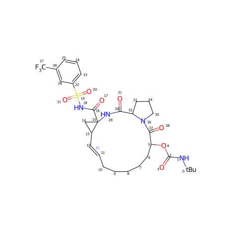 CC(C)(C)NC(=O)OC1CCCCC/C=C/C2CC2(C(=O)NS(=O)(=O)c2cccc(C(F)(F)F)c2)NC(=O)C2CCCN2C1=O